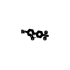 CS(=O)(=O)c1ccc(-c2ccc(Br)c[n+]2[O-])cc1